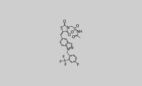 CC(=O)NS(=O)(=O)CN1C(=O)SC(=Cc2ccc3c(cnn3Cc3ccc(F)cc3C(F)(F)F)c2)C1=O